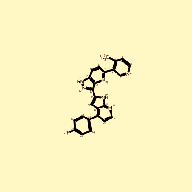 Cc1ccncc1-c1ccc2[nH]nc(-c3cc4c(-c5ccc(F)cc5)ccnc4[nH]3)c2n1